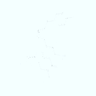 CCN1C[C@@](C)(C(=O)N(C)C)n2cc(-c3ncc(Cc4ccc(F)cc4)s3)c(=O)c(O)c2C1=O